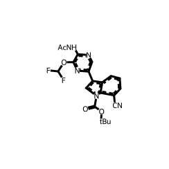 CC(=O)Nc1ncc(-c2cn(C(=O)OC(C)(C)C)c3c(C#N)cccc23)nc1OC(F)F